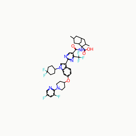 CC1CC2CC(C)C(NC(=O)c3cnc(-c4cn(C5CCC(F)(F)CC5)c5cc(OC6CCN(c7ncc(F)cc7F)CC6)ccc45)nc3C(F)(F)F)(C(=O)O)C(C1)C2